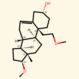 COCC[C@]12CC[C@@H](O)CC1=CC[C@@H]1[C@@H]2CC[C@]2(C)[C@@H](OC)CC[C@@H]12